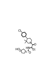 CC[C@@H](NC(=O)[C@@H]1CC[C@@H](O)C1)C(=O)N1CCC(c2ccc(Cl)cc2)C(C)(C)C1